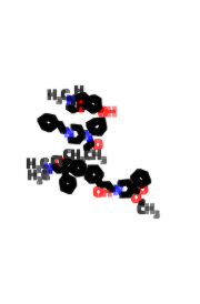 CCC(=O)C(CC(C)N(C)C)(c1ccccc1)c1ccccc1.CCC(=O)N(c1ccccc1)C1CCN(CCc2ccccc2)CC1.CCOC(=O)C1(c2ccccc2)CCN(CCC(O)c2ccccc2)CC1.CN1CC[C@]23CCCC[C@H]2[C@H]1Cc1ccc(O)cc13